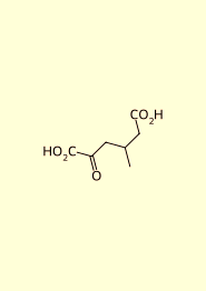 CC(CC(=O)O)CC(=O)C(=O)O